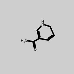 NC(=O)C1=[C]NCC=C1